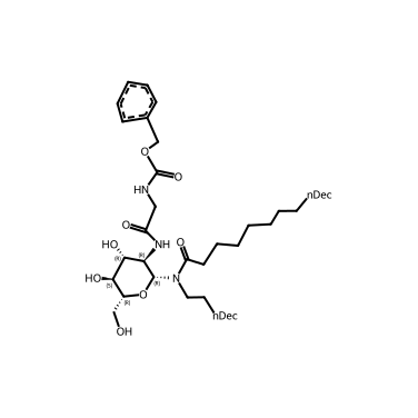 CCCCCCCCCCCCCCCCCC(=O)N(CCCCCCCCCCCC)[C@@H]1O[C@H](CO)[C@@H](O)[C@H](O)[C@H]1NC(=O)CNC(=O)OCc1ccccc1